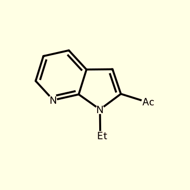 CCn1c(C(C)=O)cc2cccnc21